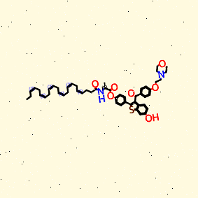 CC/C=C\C/C=C\C/C=C\C/C=C\C/C=C\C/C=C\CCC(=O)N[C@@H](C)C(=O)Oc1ccc(-c2sc3cc(O)ccc3c2C(=O)c2ccc(OCCN3CCOCC3)cc2)cc1